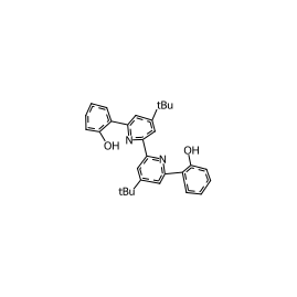 CC(C)(C)c1cc(-c2cc(C(C)(C)C)cc(-c3ccccc3O)n2)nc(-c2ccccc2O)c1